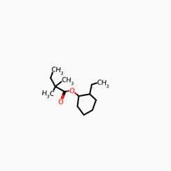 CCC1CCCCC1OC(=O)C(C)(C)CC